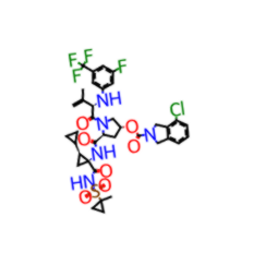 C=C(C)[C@H](Nc1cc(F)cc(C(F)(F)F)c1)C(=O)N1C[C@H](OC(=O)N2Cc3cccc(Cl)c3C2)C[C@H]1C(=O)N[C@]1(C(=O)NS(=O)(=O)C2(C)CC2)C[C@H]1C1CC1